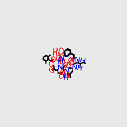 CCC(C)C(NC(=O)Cc1ccc(O)c([N+](=O)[O-])c1)C(=O)N[C@@H](CC(C)C)C(=O)N[C@@H](C)C(=O)N[C@@H](CC(=O)O)C(=O)COC(=O)c1c(C)cccc1C